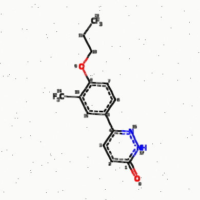 O=c1ccc(-c2ccc(OCCC(F)(F)F)c(C(F)(F)F)c2)n[nH]1